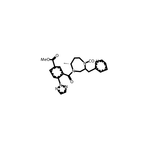 COC(=O)c1ccc(-n2nccn2)c(C(=O)N2CC(Cc3ccccc3)N(C(=O)O)CC[C@H]2C)c1